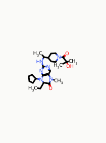 CCC1C(=O)N(C)c2cnc(NC(C)C3CCN(C(=O)C(C)(C)O)CC3)nc2N1C1CCCC1